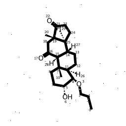 CCCO[C@H]1[C@H](O)CC[C@@]2(C)[C@H]1CC[C@@H]1[C@@H]2C(=O)C[C@]2(C)C(=O)CC[C@@H]12